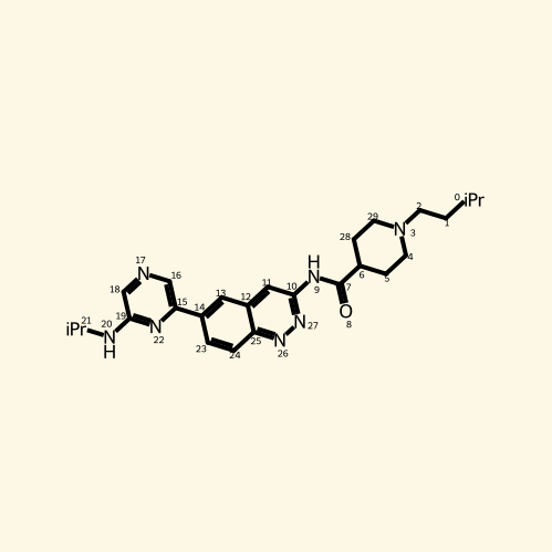 CC(C)CCN1CCC(C(=O)Nc2cc3cc(-c4cncc(NC(C)C)n4)ccc3nn2)CC1